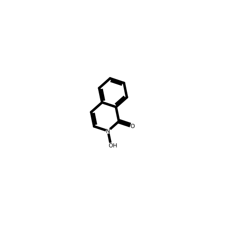 O=c1c2ccccc2ccn1O